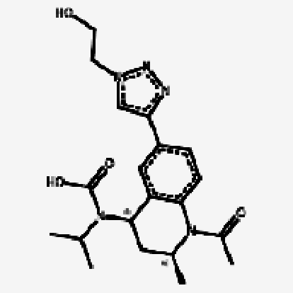 CC(=O)N1c2ccc(-c3cn(CCO)nn3)cc2[C@H](N(C(=O)O)C(C)C)C[C@@H]1C